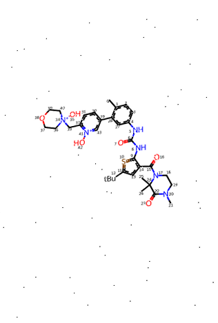 Cc1ccc(NC(=O)Nc2sc(C(C)(C)C)cc2C(=O)N2CCN(C)C(=O)C2(C)C)cc1-c1ccc(C[N+]2(O)CCOCC2)[n+](O)c1